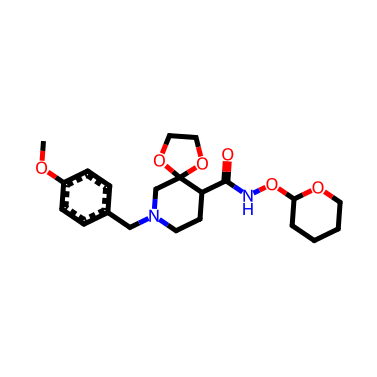 COc1ccc(CN2CCC(C(=O)NOC3CCCCO3)C3(C2)OCCO3)cc1